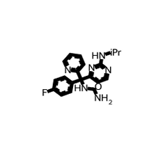 CC(C)Nc1nccc(C(NC(N)=O)(c2ccc(F)cc2)c2ccccn2)n1